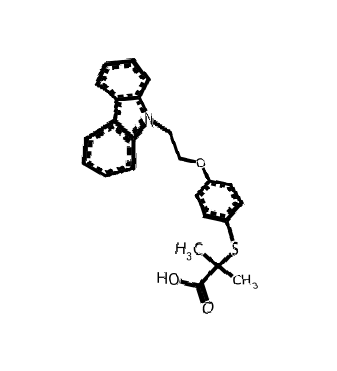 CC(C)(Sc1ccc(OCCn2c3ccccc3c3ccccc32)cc1)C(=O)O